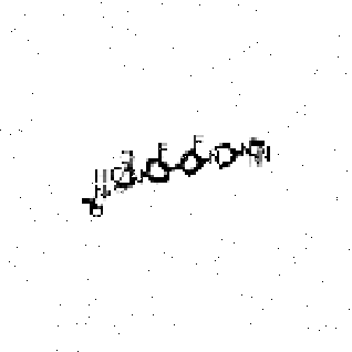 CC(=O)NC[C@H]1CN(c2ccc(-c3ccc(N4CCC(n5ccnn5)CC4)c(F)c3)c(F)c2)C(=O)O1